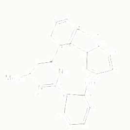 CSC1CC(C2CC=CC3=C2C2C=CC=CC2S3)=NC(C2C=CC=CC2O)=N1